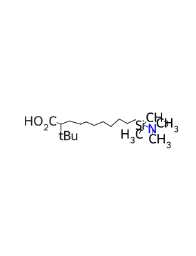 CN(C)[Si](C)(C)CCCCCCCCCC(C(=O)O)C(C)(C)C